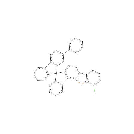 Brc1cccc2c1sc1c3c(ccc12)C1(c2ccccc2-c2ccc(-c4ccccc4)cc21)c1ccccc1-3